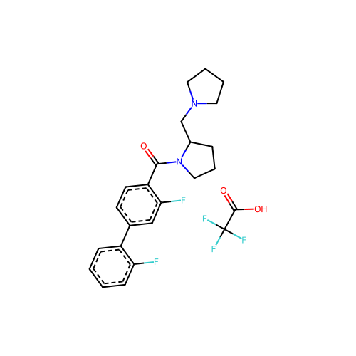 O=C(O)C(F)(F)F.O=C(c1ccc(-c2ccccc2F)cc1F)N1CCCC1CN1CCCC1